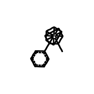 C[C]12[CH]3[CH]4[CH]5[C]1(c1ccccc1)[Fe]43521678[CH]2[CH]1[CH]6[CH]7[CH]28